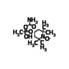 CC1(C)CCCC(C)(C)N1[O].CP(=O)(O)OC(N)=O